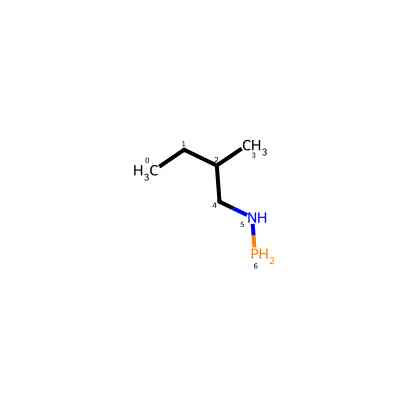 CCC(C)CNP